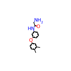 Cc1ccc(Oc2cccc(NC(=O)CN)c2)cc1C